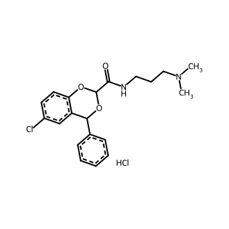 CN(C)CCCNC(=O)C1Oc2ccc(Cl)cc2C(c2ccccc2)O1.Cl